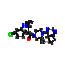 CC[C@H]1CCc2ncnc(N3CCN(C(=O)[C@H](CNC(C)C)c4ccc(Cl)cc4)CC3)c21